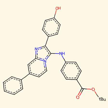 CC(C)(C)OC(=O)c1ccc(Nc2c(-c3ccc(O)cc3)nc3cc(-c4ccccc4)ccn23)cc1